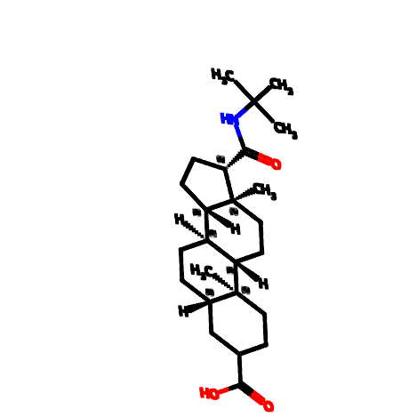 CC(C)(C)NC(=O)[C@H]1CC[C@H]2[C@@H]3CC[C@H]4CC(C(=O)O)CC[C@]4(C)[C@H]3CC[C@]12C